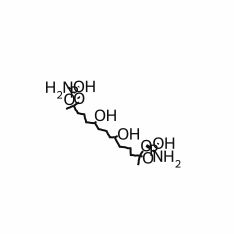 CC(C)(CCCC(O)CCCC(O)CCCC(C)(C)OP(N)(=O)O)OP(N)(=O)O